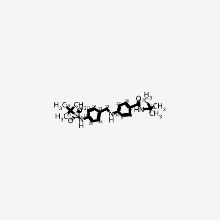 CC(C)(C)NC(=O)c1ccc(NCc2ccc(NS(=O)(=O)C(C)(C)C)cc2)cc1